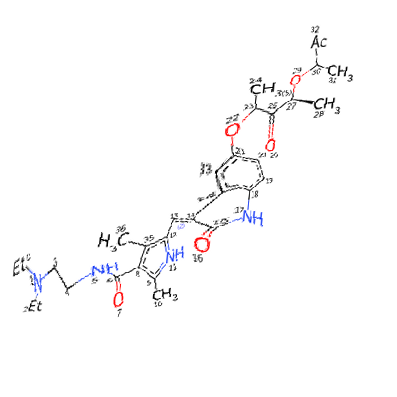 CCN(CC)CCNC(=O)c1c(C)[nH]c(/C=C2\C(=O)Nc3ccc(OC(C)C(=O)[C@H](C)OC(C)C(C)=O)cc32)c1C